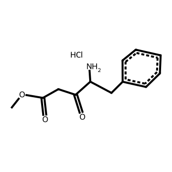 COC(=O)CC(=O)C(N)Cc1ccccc1.Cl